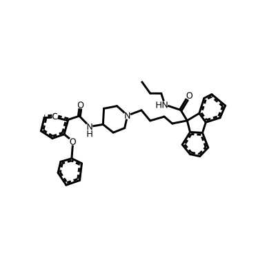 CCCNC(=O)C1(CCCCN2CCC(NC(=O)c3ccccc3Oc3ccccc3)CC2)c2ccccc2-c2ccccc21